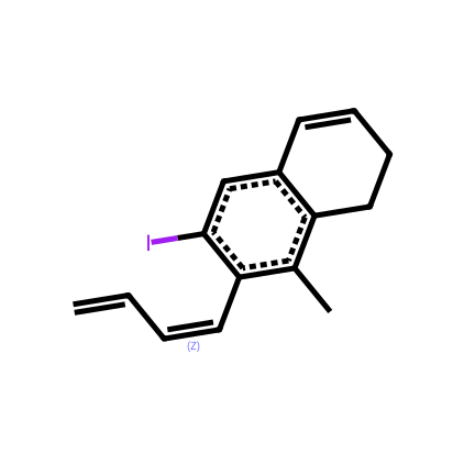 C=C/C=C\c1c(I)cc2c(c1C)CCC=C2